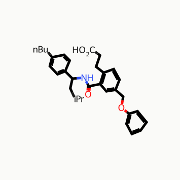 CCCCc1ccc(C(CC(C)C)NC(=O)c2cc(COc3ccccc3)ccc2CCC(=O)O)cc1